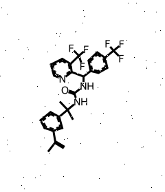 C=C(C)c1cccc(C(C)(C)NC(=O)NC(c2ccc(C(F)(F)F)cc2)c2ncccc2C(F)(F)F)c1